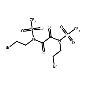 O=C(C(=O)N(CCBr)S(=O)(=O)C(F)(F)F)N(CCBr)S(=O)(=O)C(F)(F)F